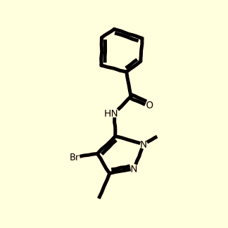 Cc1nn(C)c(NC(=O)c2ccccc2)c1Br